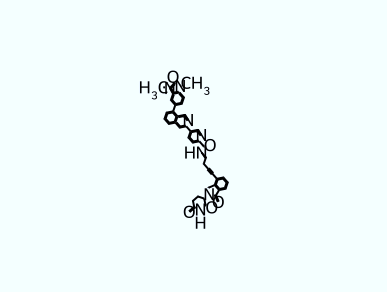 Cn1c(=O)n(C)c2cc(-c3cccc4cc(-c5ccc(C(=O)NCCC#Cc6cccc7c6CN(C6CCC(=O)NC6=O)C7=O)nc5)ncc34)ccc21